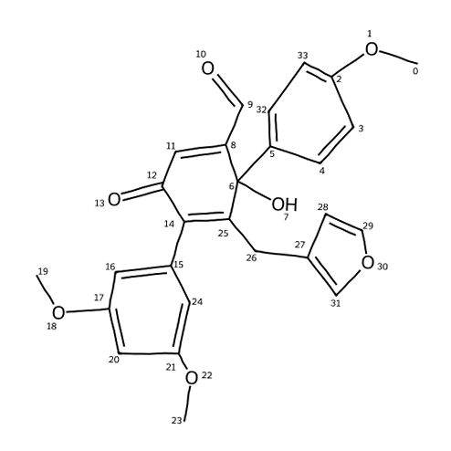 COc1ccc(C2(O)C(C=O)=CC(=O)C(c3cc(OC)cc(OC)c3)=C2Cc2ccoc2)cc1